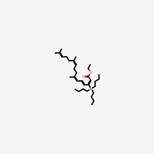 CCC[CH2][Sn]([CH2]CCC)([CH2]CCC)[C](C=CC=C(C)CCC=C(C)CCC=C(C)C)=CC(=O)OCC